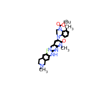 Cc1cccc2c1N(C(=O)OC(C)(C)C)CCN2c1cc2cnc(Nc3cc4c(cc3F)CCN(C)C4)nc2n(C)c1=O